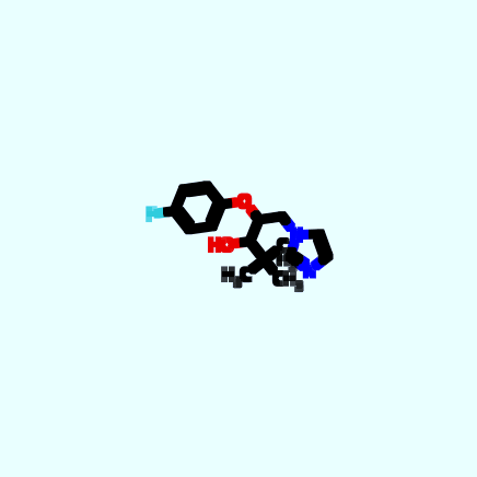 CC(C)(C)C(O)C(Cn1ccnc1)Oc1ccc(F)cc1